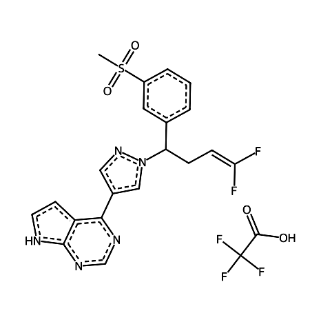 CS(=O)(=O)c1cccc(C(CC=C(F)F)n2cc(-c3ncnc4[nH]ccc34)cn2)c1.O=C(O)C(F)(F)F